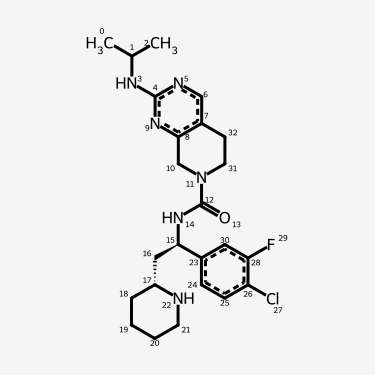 CC(C)Nc1ncc2c(n1)CN(C(=O)N[C@H](C[C@H]1CCCCN1)c1ccc(Cl)c(F)c1)CC2